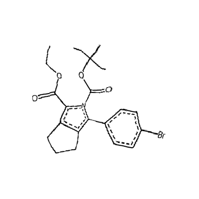 CCOC(=O)c1c2c(c(-c3ccc(Br)cc3)n1C(=O)OC(C)(C)C)CCC2